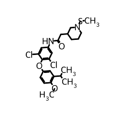 COc1ccc(Oc2c(Cl)cc(NC(=O)CC3CCCN(SC)C3)cc2Cl)cc1C(C)C